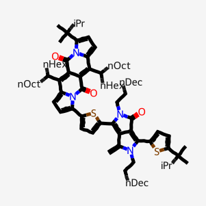 C=c1c2c(c(-c3ccc(C(C)(C)C(C)C)s3)n1CCCCCCCCCCCC)C(=O)N(CCCCCCCCCCCC)C=2c1ccc(-c2ccc3c(C(CCCCCC)CCCCCCCC)c4c(=O)n5c(C(C)(C)C(C)C)ccc5c(C(CCCCCC)CCCCCCCC)c4c(=O)n23)s1